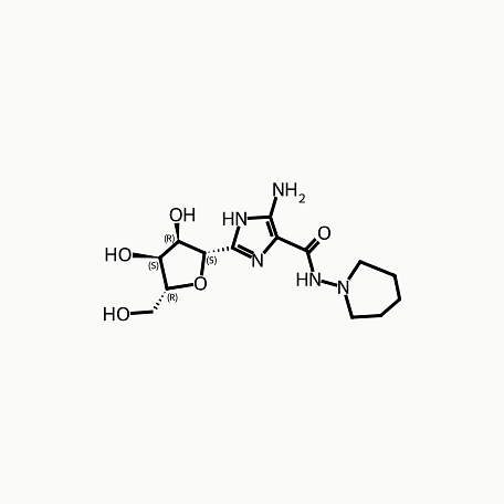 Nc1[nH]c([C@@H]2O[C@H](CO)[C@@H](O)[C@H]2O)nc1C(=O)NN1CCCCC1